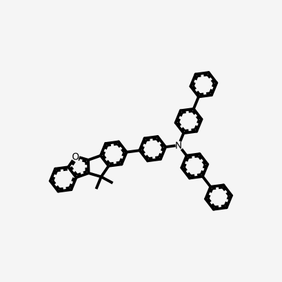 CC1(C)c2cc(-c3ccc(N(c4ccc(-c5ccccc5)cc4)c4ccc(-c5ccccc5)cc4)cc3)ccc2-c2oc3ccccc3c21